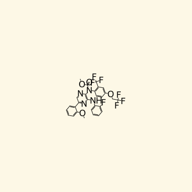 COC(=O)N(c1ccc(OCC(F)(F)F)cc1C(F)(F)F)c1ncc(-c2ccccc2OC)nc1Nc1ccccc1F